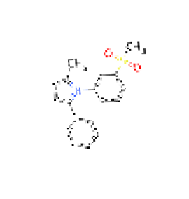 Cc1ccc(-c2ccccc2)n1-c1cccc(S(C)(=O)=O)c1